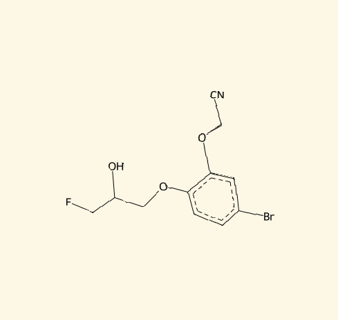 N#CCOc1cc(Br)ccc1OCC(O)CF